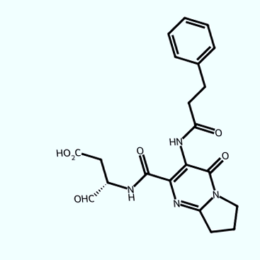 O=C[C@H](CC(=O)O)NC(=O)c1nc2n(c(=O)c1NC(=O)CCc1ccccc1)CCC2